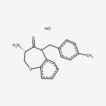 Cc1ccc(CN2C(=O)[C@@H](N)COc3ccccc32)cc1.Cl